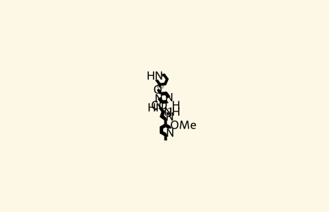 CC(=O)O.COc1nc(C)ccc1-c1cc(Nc2cncc(O[C@@H]3CCCNC3)n2)[nH]n1